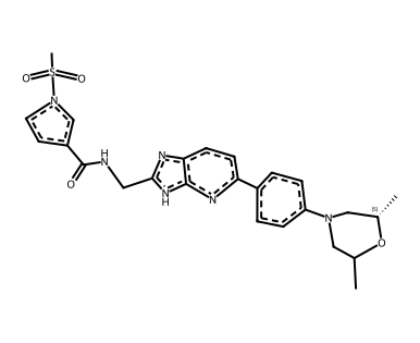 CC1CN(c2ccc(-c3ccc4nc(CNC(=O)c5ccn(S(C)(=O)=O)c5)[nH]c4n3)cc2)C[C@H](C)O1